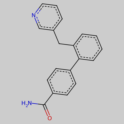 NC(=O)c1ccc(-c2ccccc2Cc2cccnc2)cc1